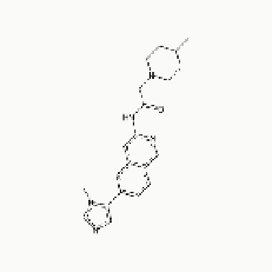 CC1CCN(CC(=O)Nc2cc3cc(-c4cncn4C)ccc3cn2)CC1